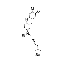 CCN(CCOCCC(C)CC(C)(C)C)c1ccc(N=C2C=CC(=O)C(Cl)=C2)c(C)c1